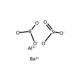 O=[Si]([O-])[O-].[Al+3].[Ba+2].[O-]B([O-])[O-]